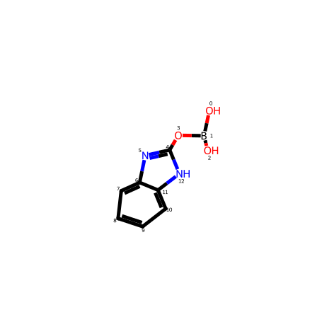 OB(O)Oc1nc2ccccc2[nH]1